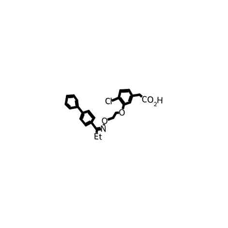 CCC(=NOCCOc1cc(CC(=O)O)ccc1Cl)c1ccc(-c2ccccc2)cc1